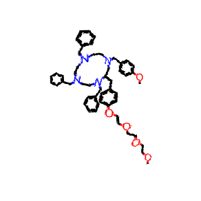 COCCOCCOCCOc1ccc(CC2CN(Cc3ccc(OC)cc3)CCN(Cc3ccccc3)CCN(Cc3ccccc3)CCN2Cc2ccccc2)cc1